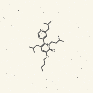 CCCCOc1cc(CC(C)C)c(-c2ccnc(CC(C)C)c2)n(CCC(C)C)c1=O